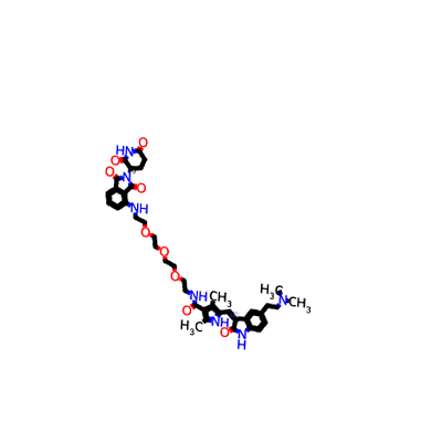 Cc1[nH]c(/C=C2\C(=O)Nc3ccc(CCN(C)C)cc32)c(C)c1C(=O)NCCOCCOCCOCCNc1cccc2c1C(=O)N([C@@H]1CCC(=O)NC1=O)C2=O